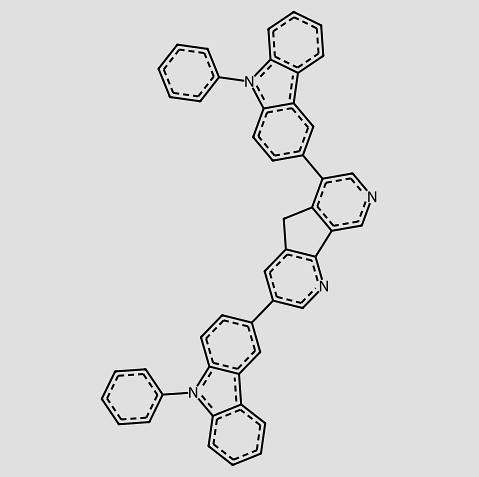 c1ccc(-n2c3ccccc3c3cc(-c4cnc5c(c4)Cc4c(-c6ccc7c(c6)c6ccccc6n7-c6ccccc6)cncc4-5)ccc32)cc1